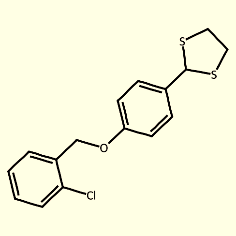 Clc1ccccc1COc1ccc(C2SCCS2)cc1